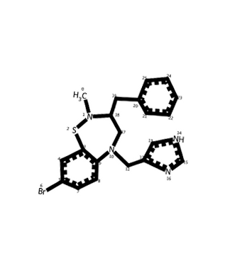 CN1Sc2cc(Br)ccc2N(Cc2c[nH]cn2)CC1Cc1ccccc1